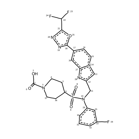 O=C(O)N1CCC(S(=O)(=O)N(Cc2cn3ccc(-c4nnc(C(F)F)o4)cc3n2)c2cccc(F)c2)CC1